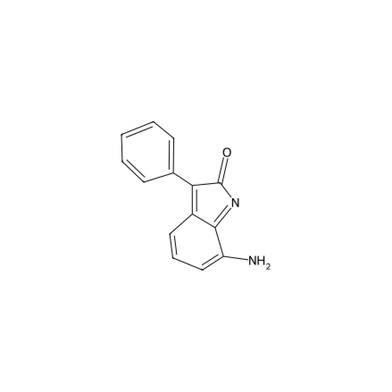 Nc1cccc2c1=NC(=O)C=2c1ccccc1